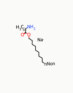 CCCCCCCCCCCCCCCCCCOC(=O)[C@H](C)N.[Na]